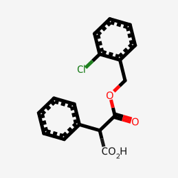 O=C(O)C(C(=O)OCc1ccccc1Cl)c1ccccc1